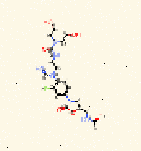 CC(=O)NCC1CN(c2ccc(N(C=N)CCNC(=O)N(CCO)CCO)c(F)c2)C(=O)O1